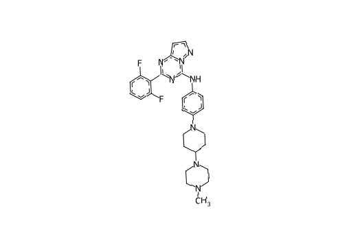 CN1CCN(C2CCN(c3ccc(Nc4nc(-c5c(F)cccc5F)nc5ccnn45)cc3)CC2)CC1